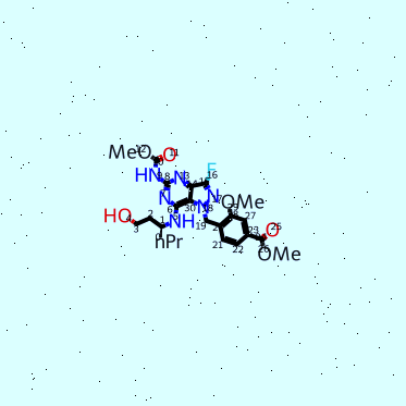 CCC[C@@H](CCO)Nc1nc(NC(=O)OC)nc2c(F)nn(Cc3ccc(C(=O)OC)cc3OC)c12